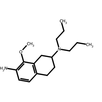 CCCN(CCC)C1CCc2ccc(N)c(OC)c2C1